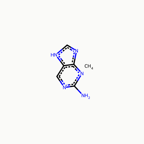 C.Nc1ncc2[nH]cnc2n1